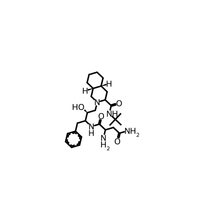 CC(C)(C)NC(=O)C1C[C@H]2CCCC[C@H]2CN1C[C@H](O)C(Cc1ccccc1)NC(=O)C(N)CC(N)=O